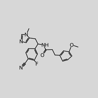 COc1cccc(CCC(=O)NC(Cc2cncn2C)c2ccc(C#N)c(F)c2)c1